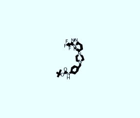 CC(C)(C)OC(=O)Nc1ccc(CN2CCN(c3ccc4nnc(C(F)(F)F)n4n3)CC2)cc1